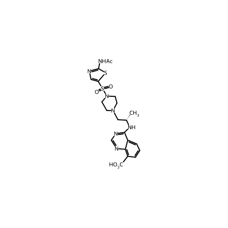 CC(=O)Nc1ncc(S(=O)(=O)N2CCN(C[C@H](C)Nc3ncnc4c(C(=O)O)cccc34)CC2)s1